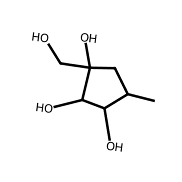 CC1CC(O)(CO)C(O)C1O